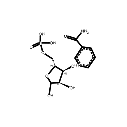 NC(=O)c1cccnc1.O=P(O)(O)OC[C@H]1OC(O)[C@H](O)[C@@H]1O